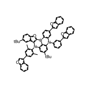 Cc1cc(-c2coc3ccccc23)cc(C)c1N1c2cc(C(C)(C)C)cc3c2B(c2ccc(-c4cc5ccccc5o4)cc2N3c2cccc(-c3cc4ccccc4o3)c2)c2oc3ccc(C(C)(C)C)cc3c21